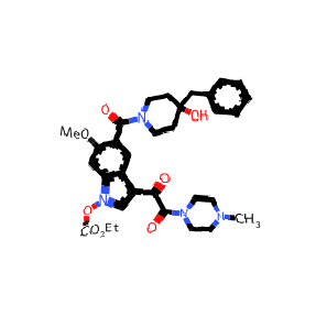 CCOC(=O)On1cc(C(=O)C(=O)N2CCN(C)CC2)c2cc(C(=O)N3CCC(O)(Cc4ccccc4)CC3)c(OC)cc21